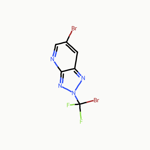 FC(F)(Br)n1nc2cc(Br)cnc2n1